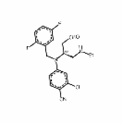 CCNC[C@H](CC=O)N(Cc1cc(F)ccc1F)c1ccc(C#N)c(Cl)c1